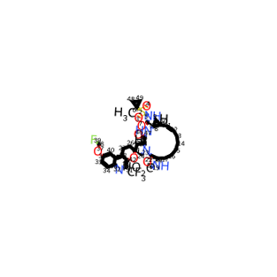 CC1(S(=O)(=O)NC(=O)[C@@]23C[C@H]2C=CCCCCC[C@H](NC(=O)O)C(=O)N2C[C@@]4(CCc5c(c(C(F)(F)F)nc6ccc(OCF)cc56)O4)C[C@H]2C(=O)N3)CC1